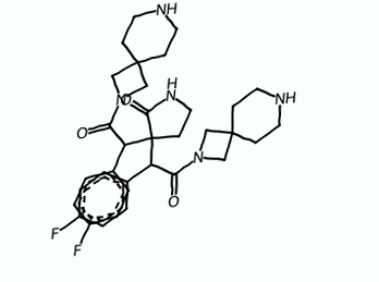 O=C(C(c1ccc(F)cc1)C1(C(C(=O)N2CC3(CCNCC3)C2)c2ccc(F)cc2)CCNC1=O)N1CC2(CCNCC2)C1